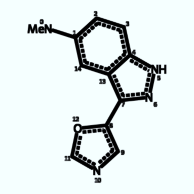 CNc1ccc2[nH]nc(-c3cnco3)c2c1